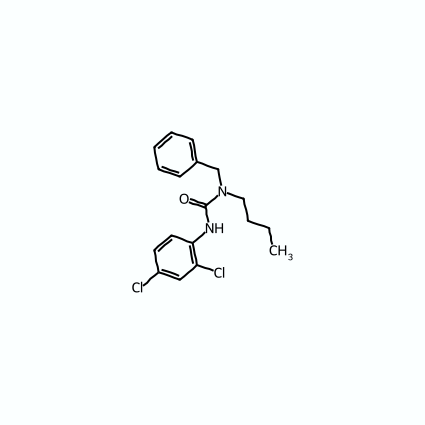 CCCCN(Cc1ccccc1)C(=O)Nc1ccc(Cl)cc1Cl